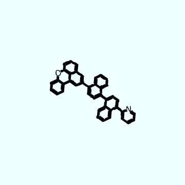 c1ccc(-c2ccc(-c3ccc(-c4cc5c6c(cccc6c4)Oc4ccccc4-5)c4ccccc34)c3ccccc23)nc1